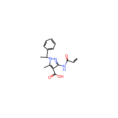 C=CC(=O)Nc1nn(C(C)c2ccccc2)c(C)c1C(=O)O